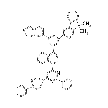 CC1(C)c2ccccc2-c2cc(-c3cc(-c4ccc5ccccc5c4)cc(-c4ccc(-c5cc(-c6ccc(-c7ccccc7)cc6)nc(-c6ccccc6)n5)c5ccccc45)c3)ccc21